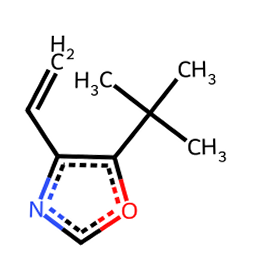 C=Cc1ncoc1C(C)(C)C